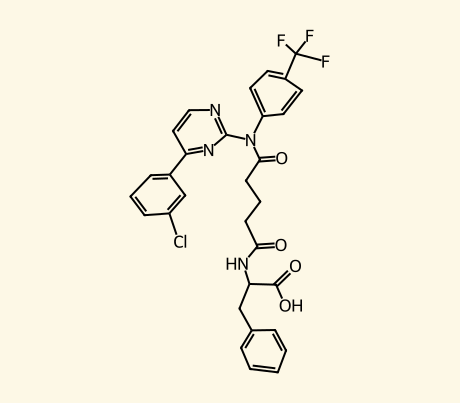 O=C(CCCC(=O)N(c1ccc(C(F)(F)F)cc1)c1nccc(-c2cccc(Cl)c2)n1)NC(Cc1ccccc1)C(=O)O